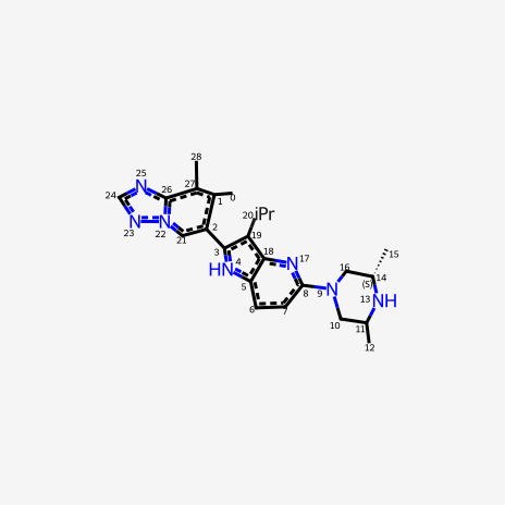 Cc1c(-c2[nH]c3ccc(N4CC(C)N[C@@H](C)C4)nc3c2C(C)C)cn2ncnc2c1C